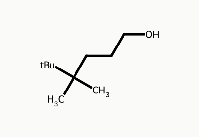 CC(C)(C)C(C)(C)CCCO